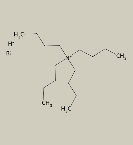 CCCC[N+](CCCC)(CCCC)CCCC.[B].[H-]